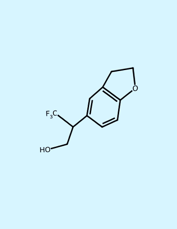 OCC(c1ccc2c(c1)CCO2)C(F)(F)F